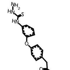 COC(=O)Cc1ccc(Oc2cccc(NC(=S)NN)c2)cc1